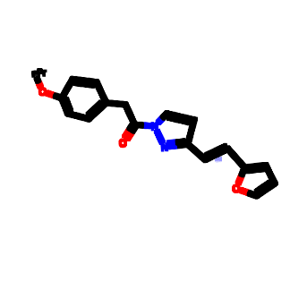 CCCOc1ccc(CC(=O)n2ccc(/C=C/c3ccco3)n2)cc1